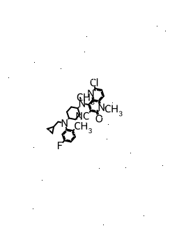 Cc1ccc(F)cc1N(CC1CC1)[C@H]1CC[C@H](N(C)c2c(C#N)c(=O)n(C)c3ccc(Cl)nc23)CC1